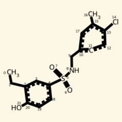 CCc1cc(S(=O)(=O)NCc2ccc(Cl)c(C)c2)ccc1O